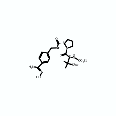 CCOC(=O)N[C@H](C(=O)N1CCC[C@H]1C(=O)NCc1ccc(C(N)=NO)cc1)C(C)(C)SC